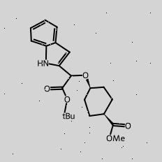 COC(=O)[C@H]1CC[C@@H](OC(C(=O)OC(C)(C)C)c2cc3ccccc3[nH]2)CC1